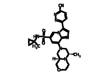 C[C@H]1CN(c2cc(S(=O)(=O)NC3(C)CC3)cn3c(-c4ccc(C#N)nn4)cnc23)C[C@@H]2COCCN21